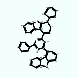 C1=C(c2nc(-c3ccccc3)nc(-c3cccc4oc5ccccc5c34)n2)c2c(oc3ccccc23)C(c2ccccc2)C1